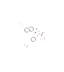 CN([C@H](C(=O)N1C2CCC1CC(N)C2)C(F)(F)c1ccc(Br)cc1)S(=O)(=O)c1ccc2cc(OC3CCCC3)ccc2c1.O=C(O)C(F)(F)F